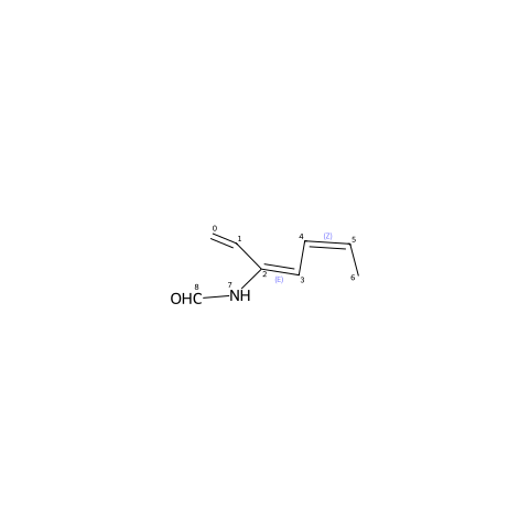 C=C/C(=C\C=C/C)NC=O